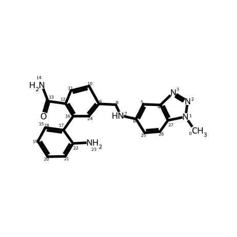 Cn1nnc2cc(NCc3ccc(C(N)=O)c(-c4ccccc4N)c3)ccc21